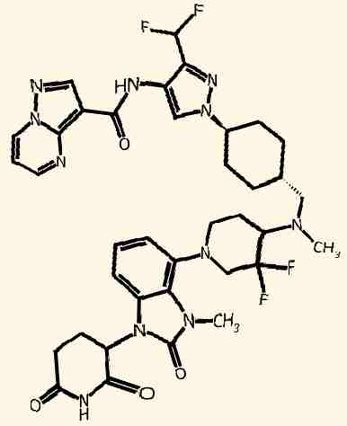 CN(C[C@H]1CC[C@H](n2cc(NC(=O)c3cnn4cccnc34)c(C(F)F)n2)CC1)C1CCN(c2cccc3c2n(C)c(=O)n3C2CCC(=O)NC2=O)CC1(F)F